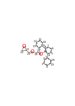 c1ccc(-c2cccc(-c3ccccc3)c2OCCOCC2CO2)cc1